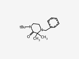 CC(C)(C)N1CCN(Cc2ccccc2)C(C)(C)C1=O